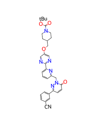 CC(C)(C)OC(=O)N1CCC(COc2cnc(-c3cccc(Cn4nc(-c5cccc(C#N)c5)ccc4=O)n3)nc2)CC1